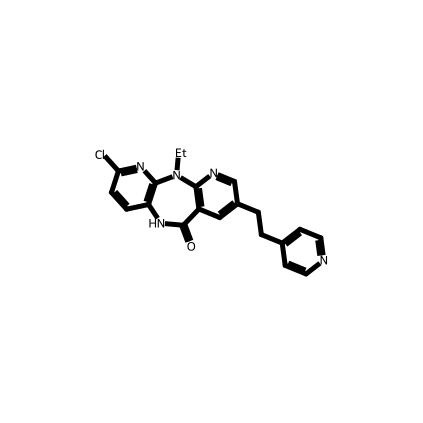 CCN1c2nc(Cl)ccc2NC(=O)c2cc(CCc3ccncc3)cnc21